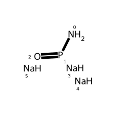 NP=O.[NaH].[NaH].[NaH]